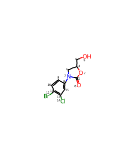 O=C1OC(CO)CN1c1ccc(Br)c(Cl)c1